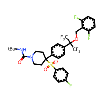 CC(C)(C)NC(=O)N1CCC(c2ccc(C(OCc3c(F)cccc3F)(C(F)(F)F)C(F)(F)F)cc2)(S(=O)(=O)c2ccc(F)cc2)CC1